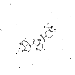 Cc1cnc(C(=O)c2cc[n+](O)c3[nH]ccc23)c(NS(=O)(=O)c2ccc(Cl)c(C(F)(F)F)c2)c1